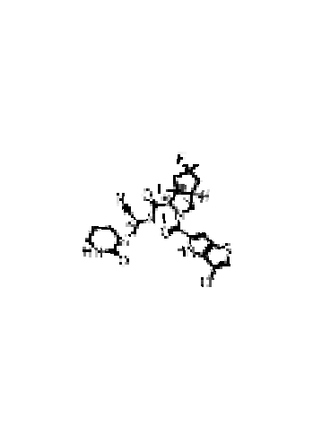 N#C[C@H](C[C@H]1CCCNC1=O)NC(=O)[C@H]1[C@@H]2CC(F)(F)C[C@@H]2CN1C(=O)c1cc2scc(Cl)c2[nH]1